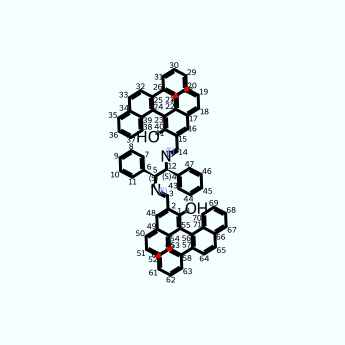 Oc1c(/C=N/[C@@H](c2ccccc2)[C@@H](/N=C/c2cc3ccccc3c(-c3c(-c4ccccc4)ccc4ccccc34)c2O)c2ccccc2)cc2ccccc2c1-c1c(-c2ccccc2)ccc2ccccc12